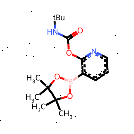 CC(C)(C)NC(=O)Oc1ncccc1B1OC(C)(C)C(C)(C)O1